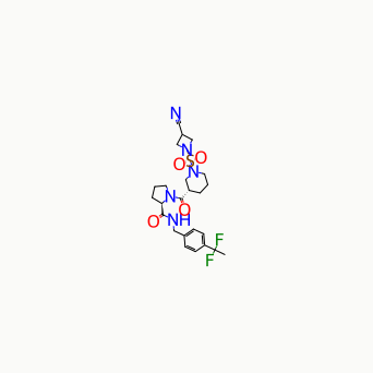 CC(F)(F)c1ccc(CNC(=O)[C@H]2CCCN2C(=O)[C@H]2CCCN(S(=O)(=O)N3CC(C#N)C3)C2)cc1